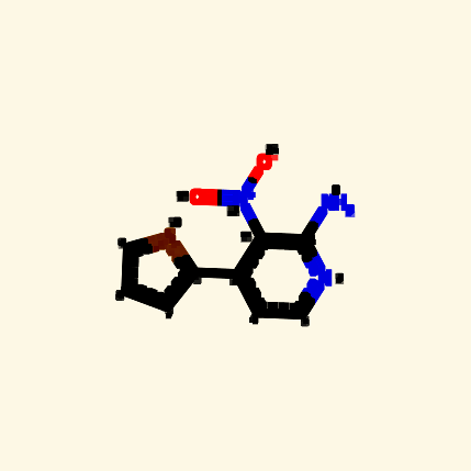 Nc1nccc(-c2cccs2)c1[N+](=O)[O-]